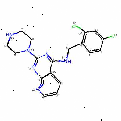 Clc1ccc(CNc2nc(N3CCNCC3)nc3ncccc23)c(Cl)c1